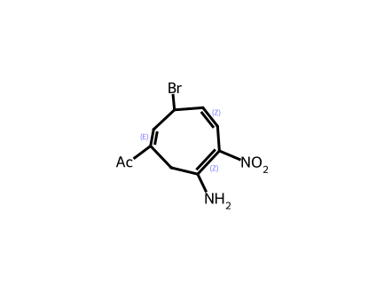 CC(=O)/C1=C/C(Br)/C=C\C([N+](=O)[O-])=C(\N)C1